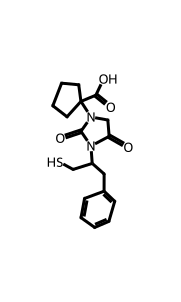 O=C1CN(C2(C(=O)O)CCCC2)C(=O)N1C(CS)Cc1ccccc1